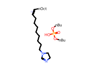 CCCCCCCC/C=C\CCCCCCCCN1C=NCC1.CCCCOP(=O)(O)OCCCC